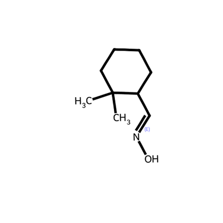 CC1(C)CCCCC1/C=N/O